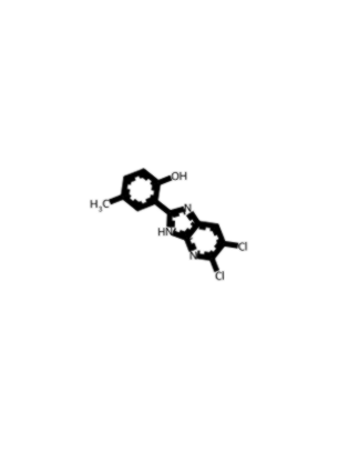 Cc1ccc(O)c(-c2nc3cc(Cl)c(Cl)nc3[nH]2)c1